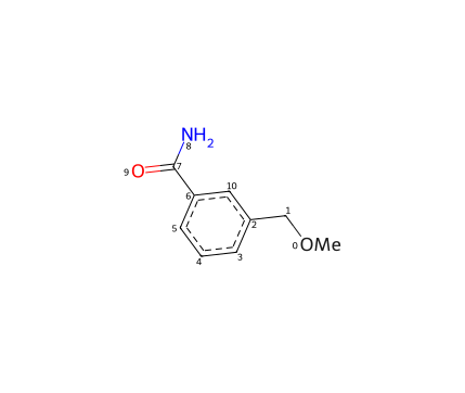 COCc1cccc(C(N)=O)c1